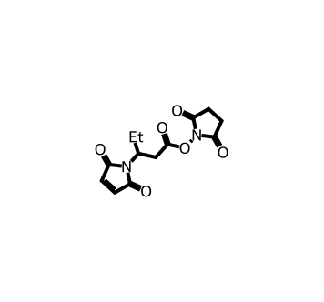 CCC(CC(=O)ON1C(=O)CCC1=O)N1C(=O)C=CC1=O